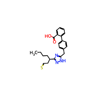 CCCCC(CC=S)c1n[nH]c(Cc2ccc(-c3ccccc3C(=O)O)cc2)n1